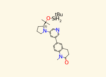 CN1C(=O)CCc2cc(-c3cncc(N4CCC[C@H]4C(C)(C)O[SiH2]C(C)(C)C)c3)ccc21